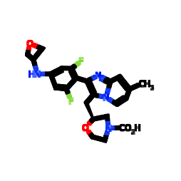 Cc1ccn2c(C[C@H]3CN(C(=O)O)CCO3)c(-c3c(F)cc(NC4COC4)cc3F)nc2c1